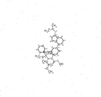 C=C(CO)C(C(CCOC)C(C)(c1ccccc1)C(C)C)[n+]1cnc(-c2cccc3c(CC(C)C)csc23)cc1C